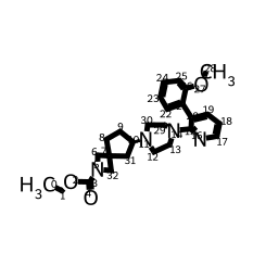 CCOC(=O)N1CC2(CC[C@@H](N3CCN(c4ncccc4-c4ccccc4OC)CC3)C2)C1